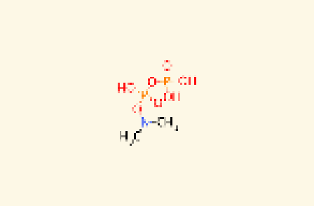 CN(C)OP(=O)(O)OP(=O)(O)O